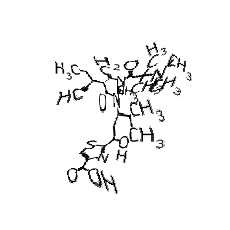 C#C[C@@H](CC)[C@H](C(=C)NC(=O)C(C)(C)N(C)C)C(=O)N(C)[C@H](C[C@@H](O)c1nc(C(=O)O)cs1)C(C)C